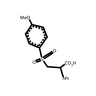 CCCC(CS(=O)(=O)c1ccc(OC)cc1)C(=O)O